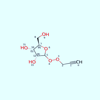 C#CCOOC1O[C@H](CO)[C@@H](O)[C@H]1O